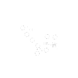 CC1(C)c2ccccc2-c2ccc(-c3ccc(-c4ccc5c(c4)c4ccccc4n5-c4cccc(C(N)NC(c5ccccc5)[C@@H](N)c5ccccc5)c4)cc3)cc21